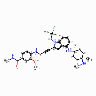 CNC(=O)c1ccc(NCC#Cc2cc3c(N[C@]4(I)CC[C@](C)(NC)CC4)cccc3n2CC(F)(F)F)c(OC)c1